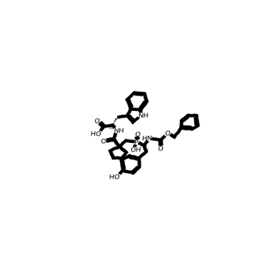 O=C(NC(Cc1ccc(O)cc1)P(=O)(O)CC1(C(=O)N[C@@H](Cc2c[nH]c3ccccc23)C(=O)O)CCCC1)OCc1ccccc1